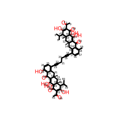 CC(=O)C1=C(O)C(C(C)C)[C@@]2(C)C[C@@]3(C)Cc4c(C#CCCC#Cc5ccc(O)c6c5C[C@]5(C)C[C@]7(C)C(C(C)C)C(O)=C(C(C)=O)C(=O)[C@]7(O)C(O)=C5C6=O)ccc(C)c4C(=O)C3=C(O)[C@@]2(O)C1=O